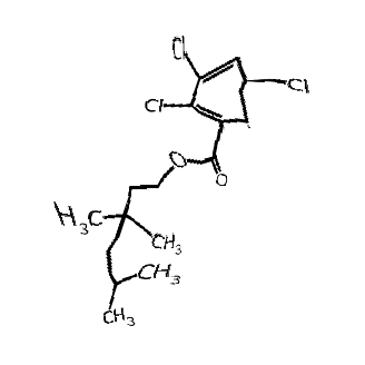 CC(C)CC(C)(C)CCOC(=O)C1=C(Cl)C(Cl)=C[C@@H](Cl)[CH]1